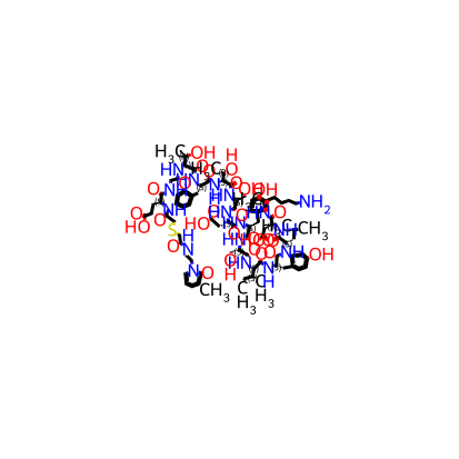 CC[C@H](C)[C@H](NC(=O)[C@H](CO)NC(=O)[C@H](Cc1ccc(O)cc1)NC(=O)[C@H](CC(=O)O)NC(=O)[C@H](CO)NC(=O)[C@@H](NC(=O)[C@H](Cc1ccccc1)NC(=O)[C@@H](NC(=O)CNC(=O)[C@H](CCC(=O)O)NC(=O)CSCC(=O)NCCn1cccc(C)c1=O)[C@@H](C)O)[C@@H](C)O)C(=O)N[C@@H](Cc1ccc(O)cc1)C(=O)N[C@@H](CC(C)C)C(=O)N[C@@H](CC(=O)O)C(=O)N[C@H](C)CCCCN